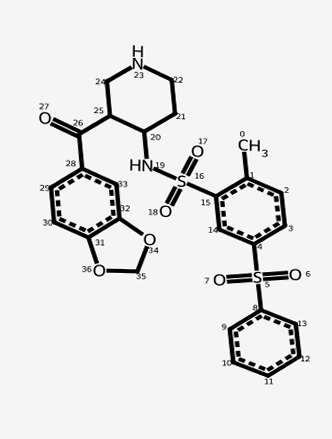 Cc1ccc(S(=O)(=O)c2ccccc2)cc1S(=O)(=O)NC1CCNCC1C(=O)c1ccc2c(c1)OCO2